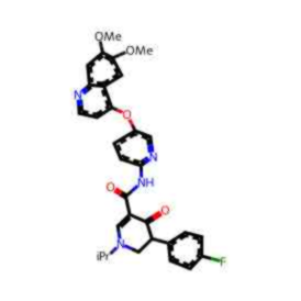 COc1cc2nccc(Oc3ccc(NC(=O)C4=CN(C(C)C)CC(c5ccc(F)cc5)C4=O)nc3)c2cc1OC